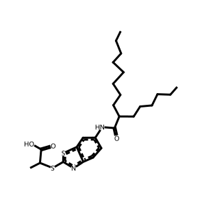 CCCCCCCCC(CCCCCC)C(=O)Nc1ccc2nc(SC(C)C(=O)O)sc2c1